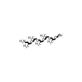 CCC(C)COCC(C)COCC(C)COCC(C)COCC(C)COCC(C)CCN